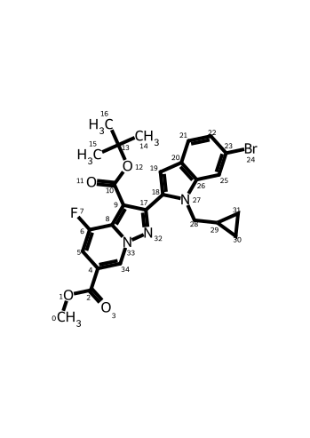 COC(=O)c1cc(F)c2c(C(=O)OC(C)(C)C)c(-c3cc4ccc(Br)cc4n3CC3CC3)nn2c1